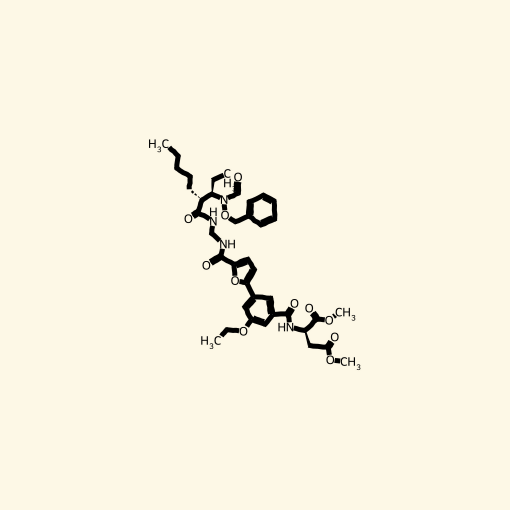 CCCCC[C@@H](C(=O)NCNC(=O)c1ccc(-c2cc(OCC)cc(C(=O)N[C@H](CC(=O)OC)C(=O)OC)c2)o1)[C@@H](CC)N(C=O)OCc1ccccc1